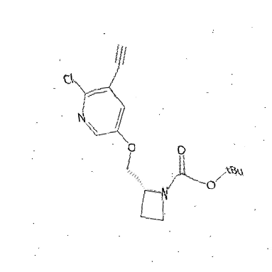 C#Cc1cc(OC[C@H]2CCN2C(=O)OC(C)(C)C)cnc1Cl